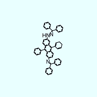 C1=CC(c2c3cc(NN=C(c4ccccc4)c4ccccc4)ccc3c(-c3ccccc3)c3cc(N=C(c4ccccc4)c4ccccc4)ccc23)=CCC1